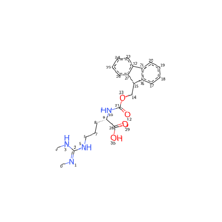 C/N=C(\NC)NCCC[C@H](NC(=O)OCC1c2ccccc2-c2ccccc21)C(=O)O